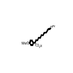 CCCC=CCCCCCCCCC(C(=O)O)c1ccc(OC)cc1